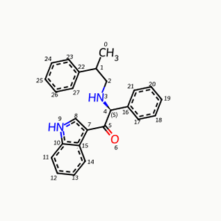 CC(CN[C@H](C(=O)c1c[nH]c2ccccc12)c1ccccc1)c1ccccc1